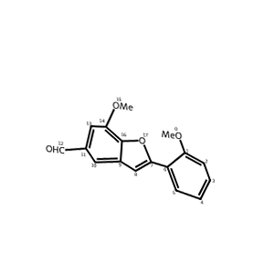 COc1ccccc1-c1cc2cc(C=O)cc(OC)c2o1